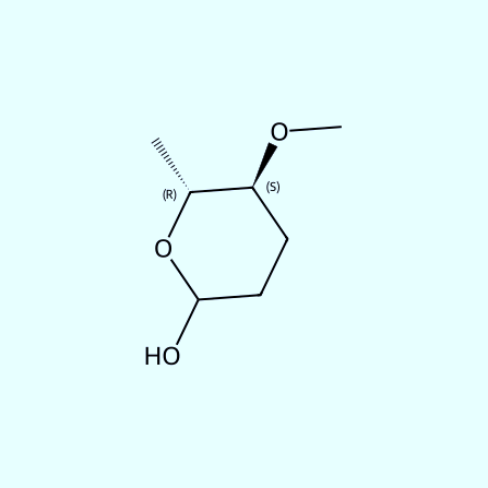 CO[C@H]1CCC(O)O[C@@H]1C